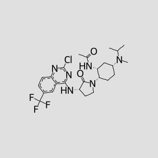 CC(=O)N[C@@H]1C[C@H](N(C)C(C)C)CC[C@@H]1N1CC[C@H](Nc2nc(Cl)nc3ccc(C(F)(F)F)cc23)C1=O